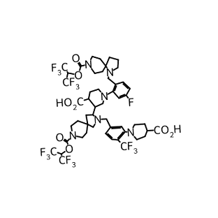 O=C(O)C1CCN(c2cc(CN3CC4(CCN(C(=O)OC(C(F)(F)F)C(F)(F)F)CC4)CC3C3CN(c4cc(F)ccc4CN4CCCC45CCN(C(=O)OC(C(F)(F)F)C(F)(F)F)CC5)CCC3C(=O)O)ccc2C(F)(F)F)CC1